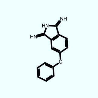 N=C1NC(=N)c2cc(Oc3ccccc3)ccc21